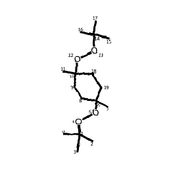 CC(C)(C)OOC1(C)CCC(C)(OOC(C)(C)C)CC1